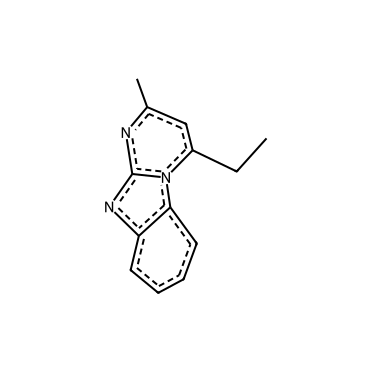 CCc1cc(C)nc2nc3ccccc3n12